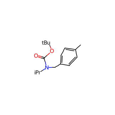 Cc1ccc(CN(C(=O)OC(C)(C)C)C(C)C)cc1